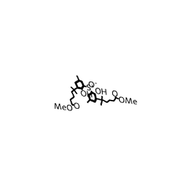 COC(=O)CCCC(C)(C)c1cc(C)cc([S+]([O-])c2cc(C)cc(C(C)(C)CCCC(=O)OC)c2O)c1O